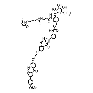 COc1ccc(C2=CN3C(=O)c4ccc(OCCCOc5ccc6c(c5)N=C[C@@H]5CC(c7cccc(NC(=O)OCc8ccc(O[C@@H]9OC(C(=O)O)[C@@H](O)C(O)C9O)c(NC(=O)CCNC(=O)CCCCCN9C(=O)C=CC9=O)c8)c7)=CN5C6=O)cc4N=C[C@@H]3C2)cc1